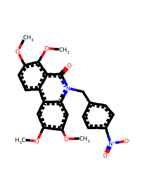 COc1cc2c3ccc(OC)c(OC)c3c(=O)n(Cc3ccc([N+](=O)[O-])cc3)c2cc1OC